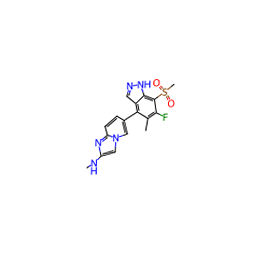 CNc1cn2cc(-c3c(C)c(F)c(S(C)(=O)=O)c4[nH]ncc34)ccc2n1